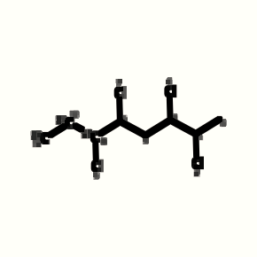 CC(Cl)C(Cl)CC(Cl)[13CH](Cl)[13CH2][13CH3]